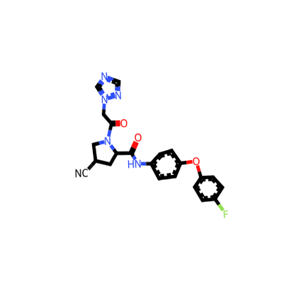 N#CC1CC(C(=O)Nc2ccc(Oc3ccc(F)cc3)cc2)N(C(=O)Cn2cncn2)C1